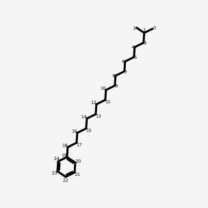 CC(C)CCCCCCCCCCCCCCC[CH]c1ccccc1